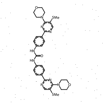 CSc1cnc(-c2ccc(NC(=O)Nc3ccc(-c4ncc(SC)c(N5CCOCC5)n4)cc3)cc2)nc1N1CCOCC1